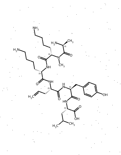 C=CC[C@H](NC(=O)[C@H](CCCCN)NC(=O)[C@H](CCCCN)N(C)C(=O)[C@H](C)N)C(=O)N[C@@H](Cc1ccc(O)cc1)C(=O)N[C@@H](CC(C)C)C(=O)O